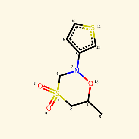 CC1CS(=O)(=O)CN(c2ccsc2)O1